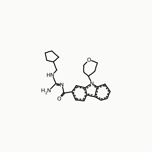 N/C(=N\C(=O)c1ccc2c3ccccc3n(C3CCOCC3)c2c1)NCC1CCCC1